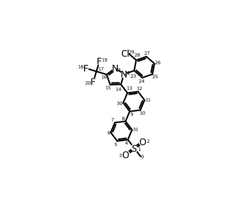 CS(=O)(=O)c1cccc(-c2cccc(-c3cc(C(F)(F)F)nn3-c3ccccc3Cl)c2)c1